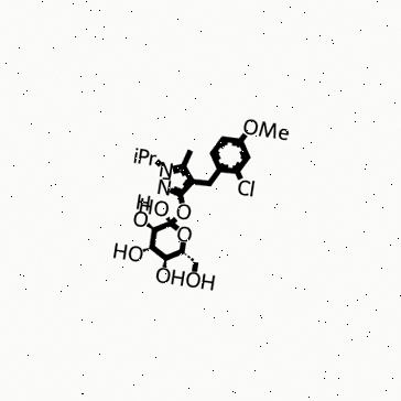 COc1ccc(Cc2c(O[C@]3(O)O[C@H](CO)[C@@H](O)[C@H](O)[C@H]3O)nn(C(C)C)c2C)c(Cl)c1